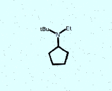 CCN(C1CCCC1)C(C)(C)C